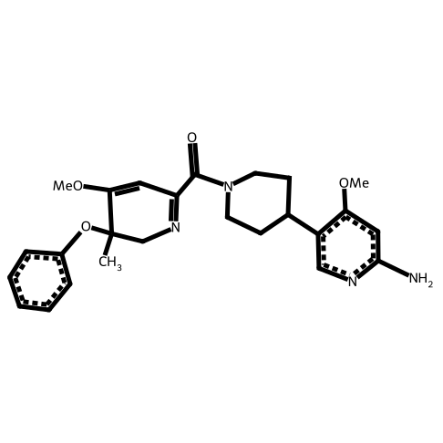 COC1=CC(C(=O)N2CCC(c3cnc(N)cc3OC)CC2)=NCC1(C)Oc1ccccc1